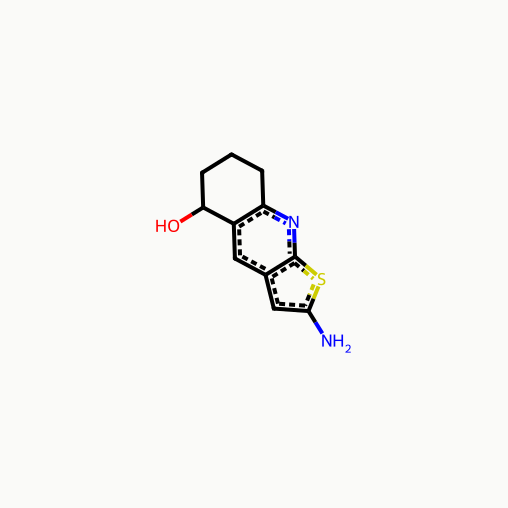 Nc1cc2cc3c(nc2s1)CCCC3O